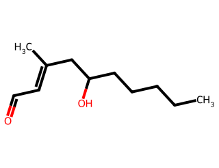 CCCCCC(O)CC(C)=CC=O